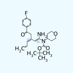 C=C/C=C(\C=C(/N)N(C(=O)OC(C)(C)C)C1CCOCC1)CC(=O)c1ccc(F)cc1